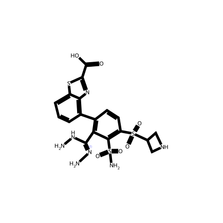 N/N=C(\NN)c1c(-c2cccc3sc(C(=O)O)nc23)ccc(S(=O)(=O)C2CNC2)c1S(N)(=O)=O